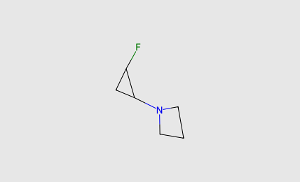 FC1CC1N1CCC1